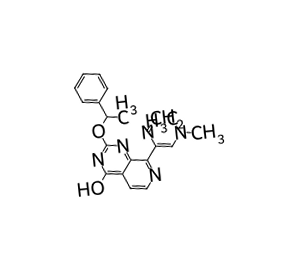 C=N/C(=C\N(C)C)c1nccc2c(O)nc(OC(C)c3ccccc3)nc12